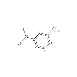 Cc1cc[c]c(C(I)I)c1